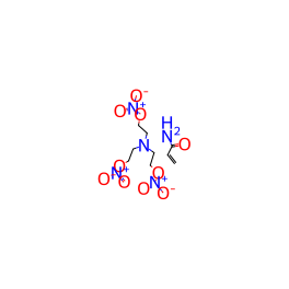 C=CC(N)=O.O=[N+]([O-])OCCN(CCO[N+](=O)[O-])CCO[N+](=O)[O-]